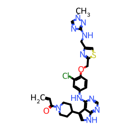 C=CC(=O)N1CCC(c2c[nH]c3ncnc(Nc4ccc(OCc5nc(CNc6ncn(C)n6)cs5)c(Cl)c4)c23)CC1